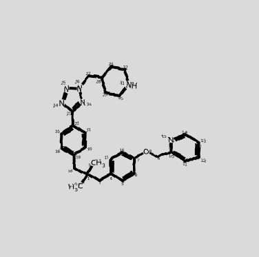 CC(C)(Cc1ccc(OCc2ccccn2)cc1)Cc1ccc(-c2nnn(CC3CCNCC3)n2)cc1